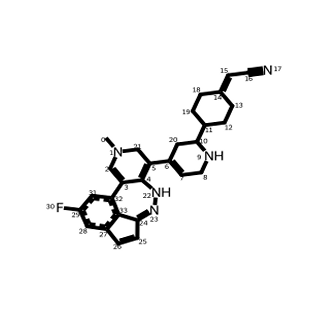 CN1C=C2C(=C(C3=CCNC(C4CCC(=CC#N)CC4)C3)C1)NN=C1C=Cc3cc(F)cc2c31